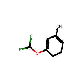 CC1=CCCC(OC(F)F)=C1